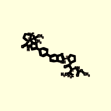 COC(=O)N[C@H](C(=O)N1CCC[C@H]1c1nc2cc(-c3ccc(-c4c[nH]c([C@@]5(C(C)(C)C)CCCN5C(=O)O)n4)cc3)ccc2[nH]1)C(C)C